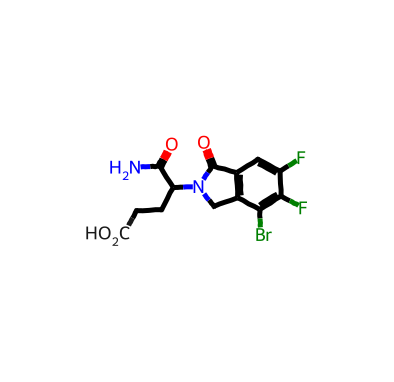 NC(=O)C(CCC(=O)O)N1Cc2c(cc(F)c(F)c2Br)C1=O